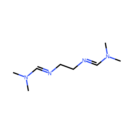 CN(C)/C=N/CC/N=C/N(C)C